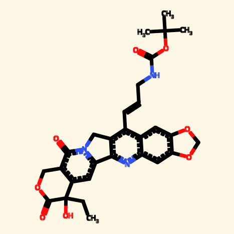 CCC1(O)C(=O)OCc2c1cc1n(c2=O)Cc2c-1nc1cc3c(cc1c2C=CCNC(=O)OC(C)(C)C)OCO3